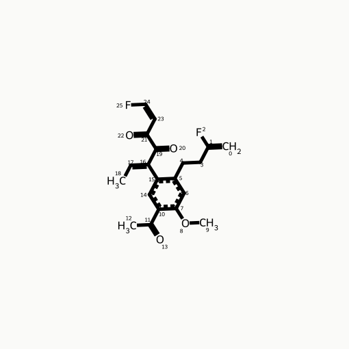 C=C(F)CCc1cc(OC)c(C(C)=O)cc1/C(=C\C)C(=O)C(=O)/C=C\F